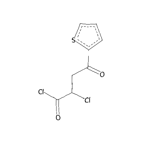 O=C(CC(Cl)C(=O)Cl)c1cccs1